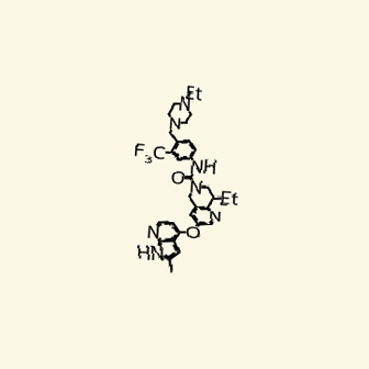 CCC1CN(C(=O)Nc2ccc(CN3CCN(CC)CC3)c(C(F)(F)F)c2)Cc2cc(Oc3ccnc4[nH]c(C)cc34)cnc21